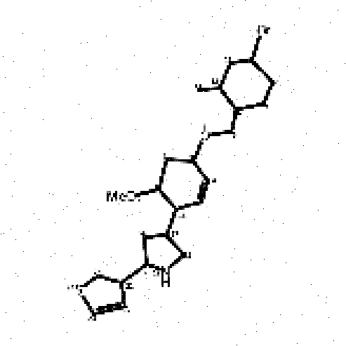 COC1CC(OCC2CCC(Br)CC2C)C=CC1C1CNC(C2C=CSC2)C1